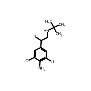 CC(C)(C)NCC(Cl)c1cc(Cl)c(N)c(Cl)c1